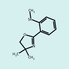 C[Se]c1ccccc1C1=NC(C)(C)CO1